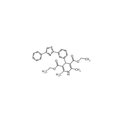 CCOC(=O)C1=C(C)NC(C)=C(C(=O)OCC)C1c1cccc(-c2nc(-c3ccccc3)cs2)c1